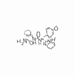 COc1ccc(C[C@@H](NC(=O)N[C@H]2CCCC[C@H]2C(N)=O)c2nc3ccccc3[nH]2)cc1